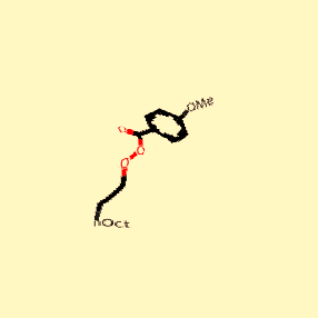 [CH2]CCCCCCCCCOOC(=O)c1ccc(OC)cc1